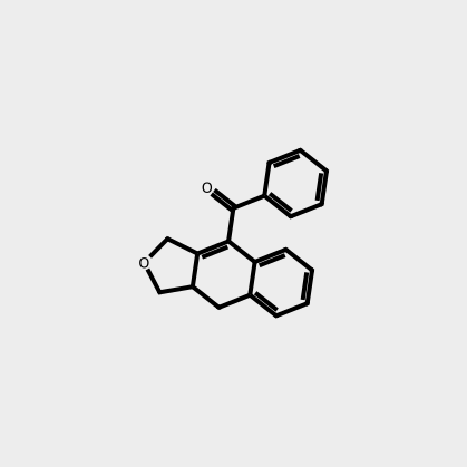 O=C(C1=C2COCC2Cc2ccccc21)c1ccccc1